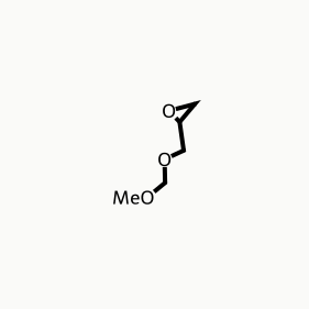 COCOCC1CO1